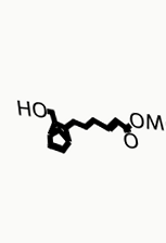 COC(=O)/C=C/CCCC1C2C=CC(C2)C1CO